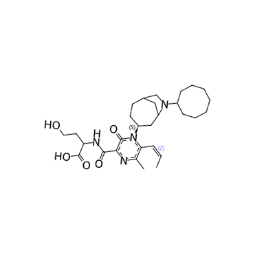 C/C=C\c1c(C)nc(C(=O)NC(CCO)C(=O)O)c(=O)n1[C@H]1CCC2CC(C1)N(C1CCCCCCC1)C2